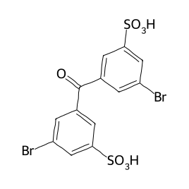 O=C(c1cc(Br)cc(S(=O)(=O)O)c1)c1cc(Br)cc(S(=O)(=O)O)c1